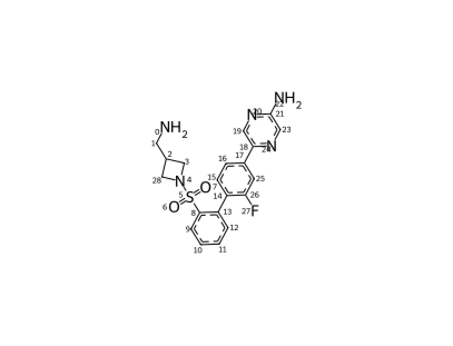 NCC1CN(S(=O)(=O)c2ccccc2-c2ccc(-c3cnc(N)cn3)cc2F)C1